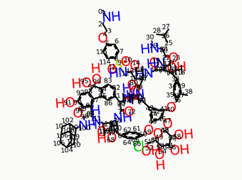 CNCCOc1ccc(S(=O)(=O)NC(=O)C[C@@H]2NC(=O)[C@H](NC(=O)[C@@H](CC(C)C)NC)[C@H](O)c3ccc(c(C)c3)Oc3cc4cc(c3O[C@@H]3O[C@H](CO)[C@@H](O)[C@H](O)[C@H]3O)Oc3ccc(cc3Cl)[C@@H](O)[C@@H]3NC(=O)[C@H](NC(=O)[C@@H]4NC2=O)c2ccc4c(c2)-c2c(cc(O)cc2C4(O)O)[C@@H](C(=O)NC2C4CC5CC(C4)CC2C5)NC3=O)cc1